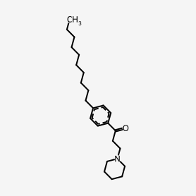 CCCCCCCCCCc1ccc(C(=O)CCN2CCCCC2)cc1